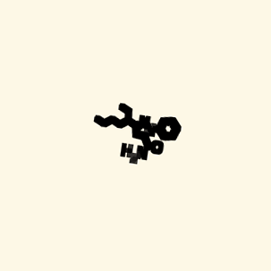 CCCCC(CC)c1cc(C(N)=O)n(-c2ccccc2)n1